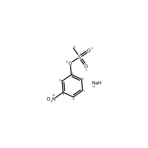 CS(=O)(=O)Oc1cccc([N+](=O)[O-])c1.[NaH]